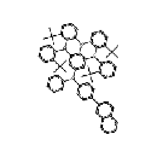 CC(C)(C)c1ccccc1N1c2cc(N(c3ccccc3)c3ccc(-c4ccc5ccccc5c4)cc3)cc3c2B(c2cccc(C(C)(C)C)c21)c1cccc(C(C)(C)C)c1N3c1ccccc1C(C)(C)C